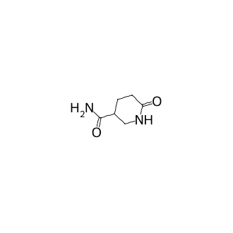 NC(=O)C1CCC(=O)NC1